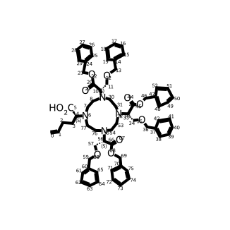 C=CCC[C@@H](C(=O)O)N1CCN([C@@H](COCc2ccccc2)C(=O)OCc2ccccc2)CCN([C@@H](COCc2ccccc2)C(=O)OCc2ccccc2)CCN([C@@H](COCc2ccccc2)C(=O)OCc2ccccc2)CC1